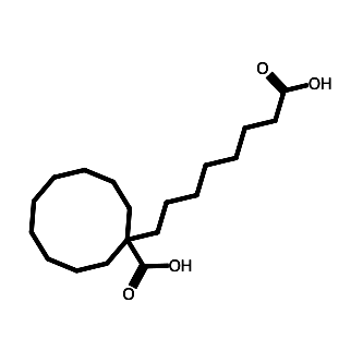 O=C(O)CCCCCCCC1(C(=O)O)CCCCCCCCC1